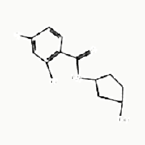 CC(C)(C)C1CCC(NC(=O)c2ccc(Cl)cc2Cl)C1